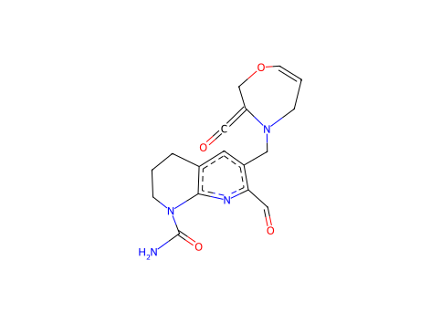 NC(=O)N1CCCc2cc(CN3CC=COCC3=C=O)c(C=O)nc21